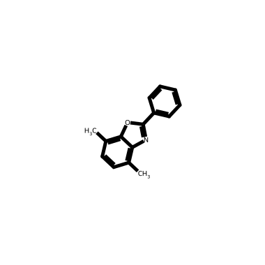 Cc1ccc(C)c2oc(-c3ccccc3)nc12